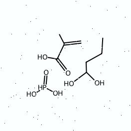 C=C(C)C(=O)O.CCCC(O)O.O=[PH](O)O